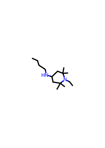 CCCCNC1CC(C)(C)N(CC)C(C)(C)C1